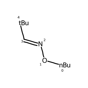 CCCCON=CC(C)(C)C